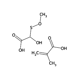 C=C(C)C(=O)O.COSC(O)C(=O)O